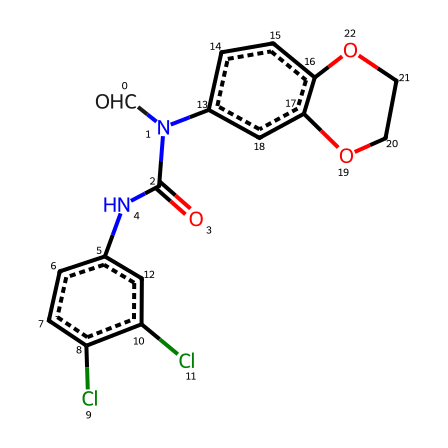 O=CN(C(=O)Nc1ccc(Cl)c(Cl)c1)c1ccc2c(c1)OCCO2